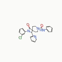 O=C(Nc1ccccc1)N1CCC2(CC1)C(=O)N(c1cccc(Cl)c1)C2c1ccccn1